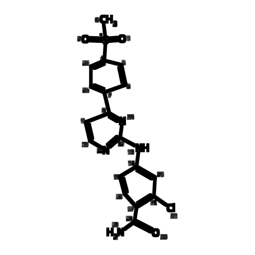 CS(=O)(=O)c1ccc(-c2ccnc(Nc3ccc(C(N)=O)c(Cl)c3)n2)cc1